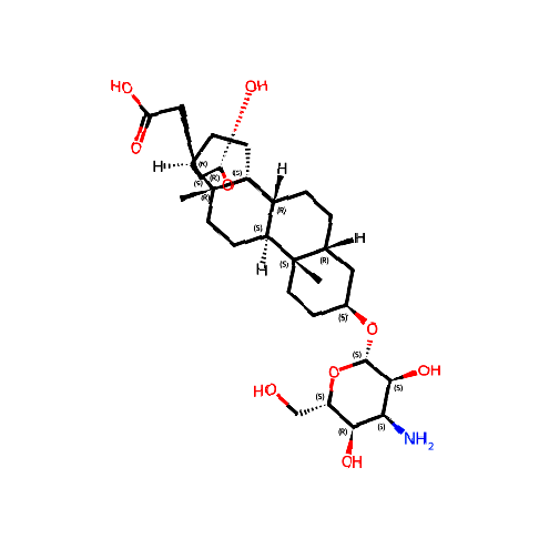 C[C@]12CC[C@H](O[C@H]3O[C@@H](CO)[C@H](O)[C@H](N)[C@@H]3O)C[C@H]1CC[C@@H]1[C@@H]2CC[C@]2(C)[C@@H]3CC[C@]12O[C@@H](O)[C@H]3CC(=O)O